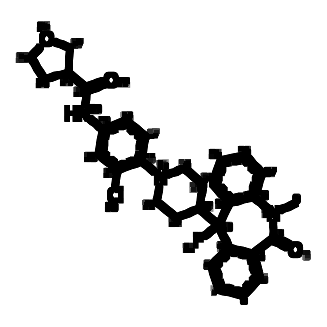 CN1C(=O)c2ccccc2C(F)(C2CCN(c3ccc(NC(=O)C4CCOC4)cc3Cl)CC2)c2ccccc21